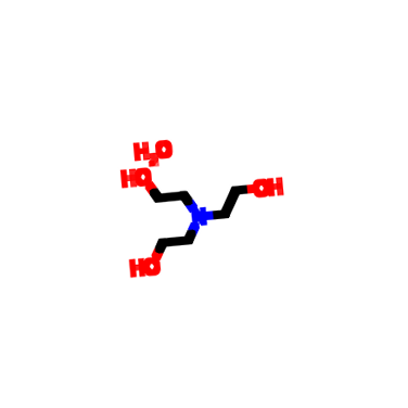 O.OCCN(CCO)CCO